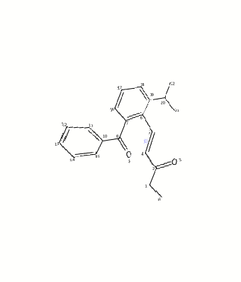 CCC(=O)/C=C/c1c(C(=O)c2ccccc2)cccc1C(C)C